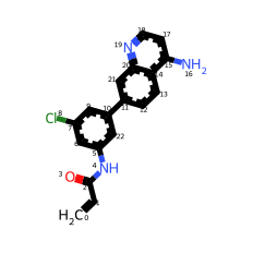 C=CC(=O)Nc1cc(Cl)cc(-c2ccc3c(N)ccnc3c2)c1